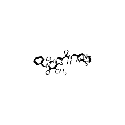 Cc1c(=O)n(Cc2ccccc2)c(=O)n2cc(C(=O)NCc3cn4ccsc4n3)sc12